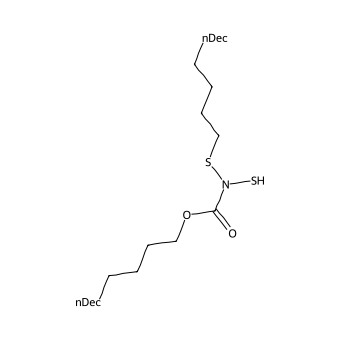 CCCCCCCCCCCCCCOC(=O)N(S)SCCCCCCCCCCCCCC